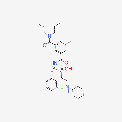 CCCN(CCC)C(=O)c1cc(C)cc(C(=O)N[C@@H](Cc2cc(F)cc(F)c2)[C@H](O)CCNC2CCCCC2)c1